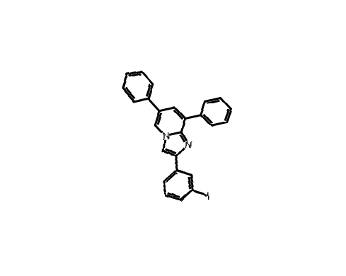 Ic1cccc(-c2cn3cc(-c4ccccc4)cc(-c4ccccc4)c3n2)c1